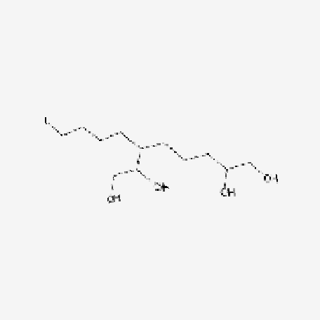 OCC(O)CCCC(CCCCI)C(O)CO